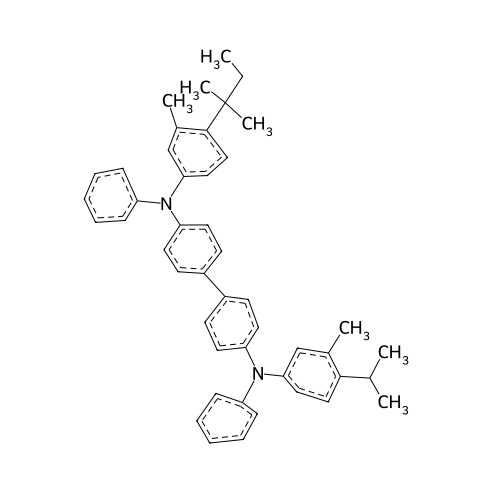 CCC(C)(C)c1ccc(N(c2ccccc2)c2ccc(-c3ccc(N(c4ccccc4)c4ccc(C(C)C)c(C)c4)cc3)cc2)cc1C